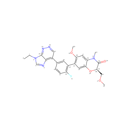 CCn1cnc2c(-c3ccc(F)c(-c4cc5c(cc4OC)N(C)C(=O)[C@@H](COC)O5)c3)cnnc21